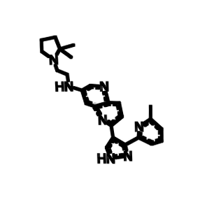 Cc1cccc(-c2n[nH]cc2-c2ccc3ncc(NCCN4CCCC4(C)C)cc3n2)n1